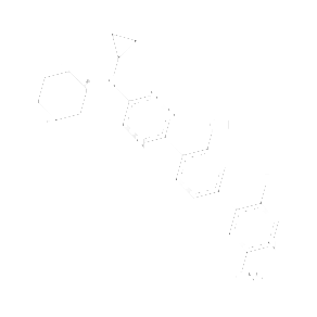 CC[C@@H]1CC[C@H](F)[C@H](N(c2cnc(-c3ccc(-c4cc(OC)ncc4F)cc3O)nn2)C2CC2)C1